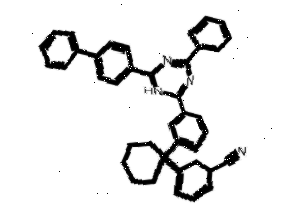 N#CC1C=CC=C(C2(c3cccc(C4=NC(c5ccccc5)=NC(c5ccc(-c6ccccc6)cc5)N4)c3)CCCCC2)C1